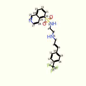 O=S(=O)(NCCNC/C=C/c1ccc(C(F)(F)F)cc1)c1cccc2cnccc12